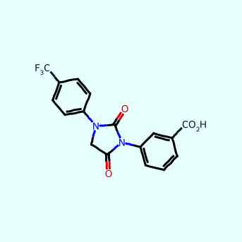 O=C(O)c1cccc(N2C(=O)CN(c3ccc(C(F)(F)F)cc3)C2=O)c1